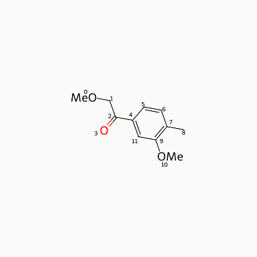 COCC(=O)c1ccc(C)c(OC)c1